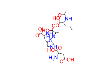 CC(N)C(=O)O.CCCCC(NC(C)=O)C(=O)O.NC(CC(=O)O)C(=O)O.NC(Cc1c[nH]cn1)C(=O)O